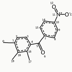 Cc1ccc(C(=O)c2ccc([N+](=O)[O-])cc2)c(C)c1C